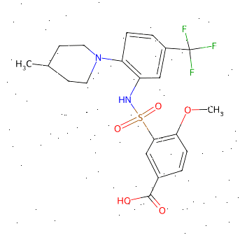 COc1ccc(C(=O)O)cc1S(=O)(=O)Nc1cc(C(F)(F)F)ccc1N1CCC(C)CC1